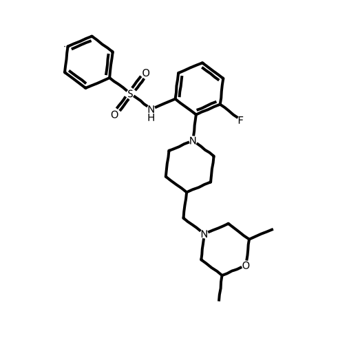 CC1CN(CC2CCN(c3c(F)cccc3NS(=O)(=O)c3cc[c]cc3)CC2)CC(C)O1